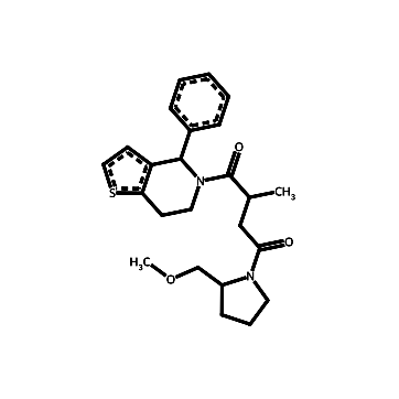 COCC1CCCN1C(=O)CC(C)C(=O)N1CCc2sccc2C1c1ccccc1